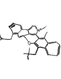 Cc1c2c(c(CC(C)(C)C)c3ccccc13)Oc1cc3c(CC(C)C)cccc3c3cc[n+](C)c-2c13